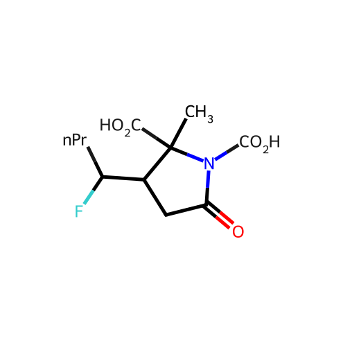 CCCC(F)C1CC(=O)N(C(=O)O)C1(C)C(=O)O